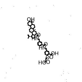 C=C(C)[C@@H]1CC[C@]2(C(=O)NCc3cccc(C(=O)NCc4ccc(OCC(=O)O)c(C(=O)O)c4)c3)CC[C@]3(C)C(CCC4[C@@]5(C)CC[C@H](O)C(C)(C)C5CC[C@]43C)C12